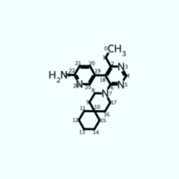 CCc1ncnc(N2CCC3(CCCCC3)CC2)c1-c1ccc(N)nc1